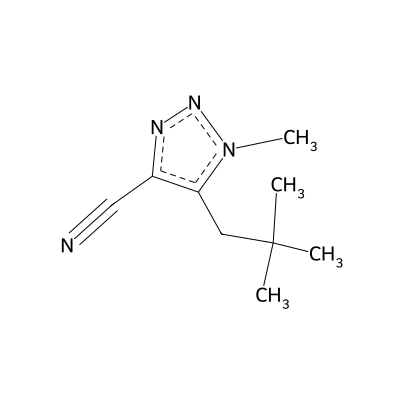 Cn1nnc(C#N)c1CC(C)(C)C